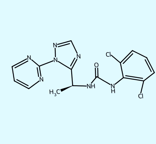 C[C@H](NC(=O)Nc1c(Cl)cccc1Cl)c1ncnn1-c1ncccn1